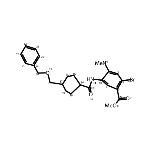 CNc1cc(Br)c(C(=O)OC)cc1NC(=O)C1CCC(COCc2ccccc2)CC1